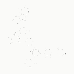 c1ccc(-c2cc(-c3ccc(-c4ccncc4)cc3)nc(-c3ccc(-c4ccc(-c5cccc6c5sc5ccccc56)c5oc6ccccc6c45)cc3)n2)cc1